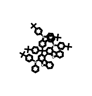 CC(C)(C)c1ccc(N(c2ccccc2)c2cc3c(c4c2oc2ccccc24)-c2c(cc(N(c4ccccc4)c4ccc(C(C)(C)C)cc4)c4c2oc2ccccc24)C3(c2ccc(C(C)(C)C)cc2)c2ccc3c(c2)c2cc(C(C)(C)C)ccc2n3-c2ccc(C(C)(C)C)cc2)cc1